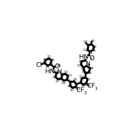 Cc1ccc(C(=O)Nc2ccc3cc(-c4cc(-c5cc(-c6ccc7nc(NC(=O)c8cccc(Cl)c8)ccc7c6)ccc5C(F)(F)F)cc(C(F)(F)F)c4)ccc3n2)cc1C